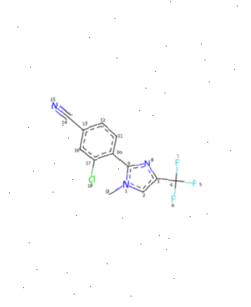 Cn1cc(C(F)(F)F)nc1-c1ccc(C#N)cc1Cl